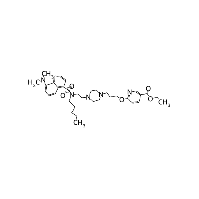 CCCCCN(CCN1CCN(CCCOc2ccc(C(=O)OCC)cn2)CC1)S(=O)(=O)c1cccc2c(N(C)C)cccc12